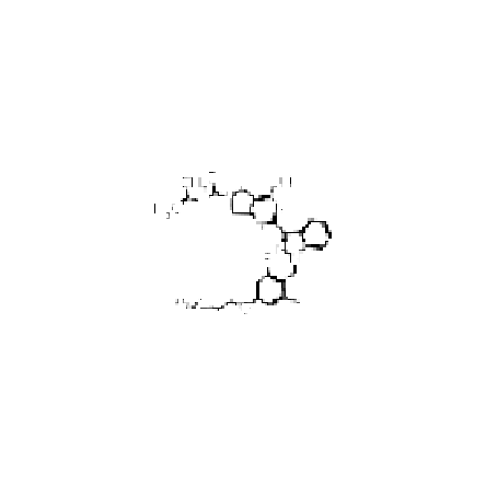 C=C(C)OC(=O)N1Cc2nc(-c3nn(Cc4c(F)cc(OCCOC)cc4F)c4ccccc34)nc(O)c2C1